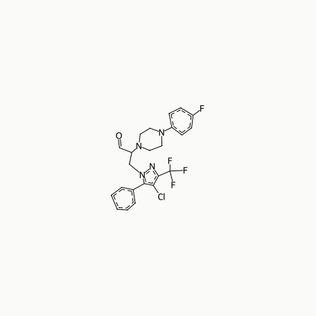 O=CC(Cn1nc(C(F)(F)F)c(Cl)c1-c1ccccc1)N1CCN(c2ccc(F)cc2)CC1